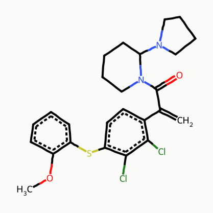 C=C(C(=O)N1CCCCC1N1CCCC1)c1ccc(Sc2ccccc2OC)c(Cl)c1Cl